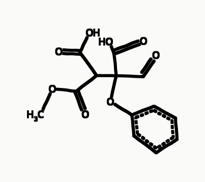 COC(=O)C(C(=O)O)C(C=O)(Oc1ccccc1)C(=O)O